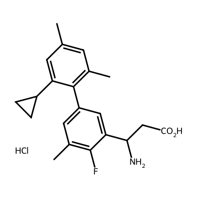 Cc1cc(C)c(-c2cc(C)c(F)c(C(N)CC(=O)O)c2)c(C2CC2)c1.Cl